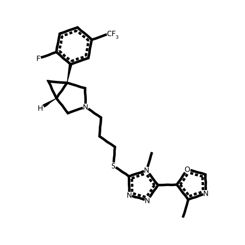 Cc1ncoc1-c1nnc(SCCCN2C[C@@H]3C[C@]3(c3cc(C(F)(F)F)ccc3F)C2)n1C